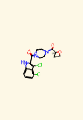 O=C(c1[nH]c2cccc(Cl)c2c1Cl)N1CCN(C(=O)[C@@H]2CCO2)CC1